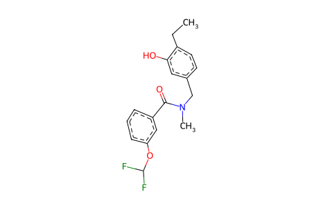 CCc1ccc(CN(C)C(=O)c2cccc(OC(F)F)c2)cc1O